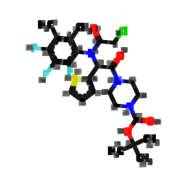 Cc1c(C)c(N(C(=O)CCl)C(C(=O)N2CCN(C(=O)OC(C)(C)C)CC2)c2cccs2)c(F)c(F)c1F